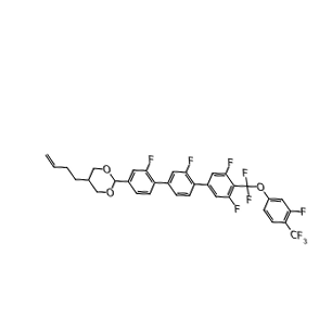 C=CCCC1COC(c2ccc(-c3ccc(-c4cc(F)c(C(F)(F)Oc5ccc(C(F)(F)F)c(F)c5)c(F)c4)c(F)c3)c(F)c2)OC1